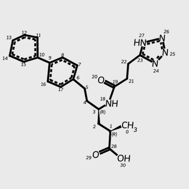 C[C@H](C[C@@H](CCc1ccc(-c2ccccc2)cc1)NC(=O)CCc1nnn[nH]1)C(=O)O